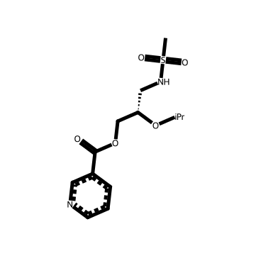 CC(C)O[C@@H](CNS(C)(=O)=O)COC(=O)c1cccnc1